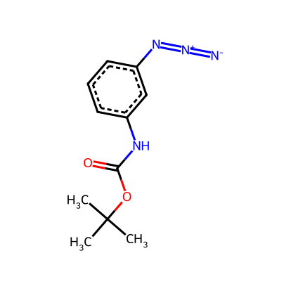 CC(C)(C)OC(=O)Nc1cccc(N=[N+]=[N-])c1